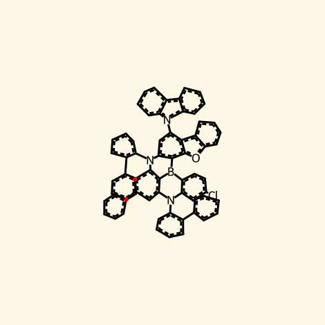 Clc1ccc2c(c1)N(c1ccccc1-c1ccccc1)c1cc(-c3ccccc3)cc3c1B2c1c(cc(-n2c4ccccc4c4ccccc42)c2c1oc1ccccc12)N3c1ccccc1-c1ccccc1